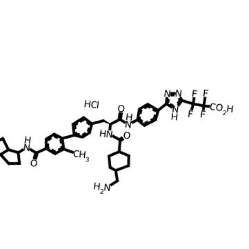 Cc1cc(C(=O)NC2CCC3NCCC32)ccc1-c1ccc(C[C@H](NC(=O)C2CCC(CN)CC2)C(=O)Nc2ccc(-c3nnc(C(F)(F)C(F)(F)C(=O)O)[nH]3)cc2)cc1.Cl